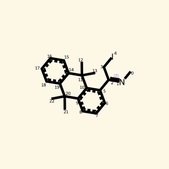 C/N=C(\CI)c1cccc2c1C(C)(C)c1ccccc1C2(C)C